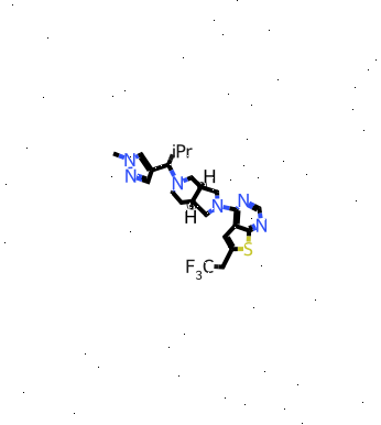 CC(C)C(c1cnn(C)c1)N1CC[C@H]2CN(c3ncnc4sc(CC(F)(F)F)cc34)C[C@H]2C1